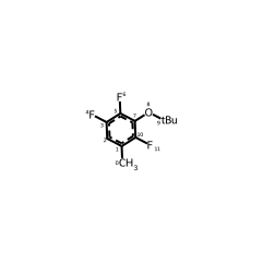 Cc1cc(F)c(F)c(OC(C)(C)C)c1F